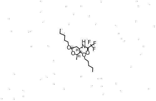 CCCCCO[C@@H]1C[C@@H](NC(=O)C(F)(F)F)[C@@H](OCCCCC)[C@@H](C)O1